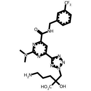 CN(C)c1nc(C(=O)NCc2cccc(C(F)(F)F)c2)cc(-c2nnn(CC(O)(CCCN)C(=O)O)n2)n1